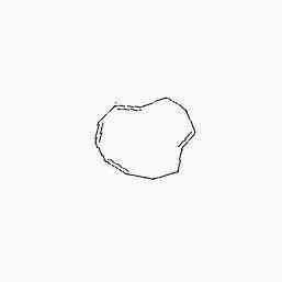 [C]1=C\CC/C=C/CC\C=C/C=C\1